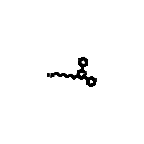 NCCCCCOc1cc(-c2cccnc2)nc(-c2cccnc2)c1